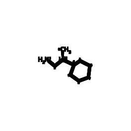 C[C@H](CN)C1CCCCC1